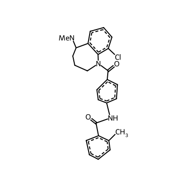 CNC1CCCN(C(=O)c2ccc(NC(=O)c3ccccc3C)cc2)c2c(Cl)cccc21